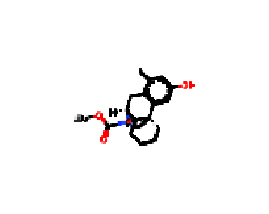 Cc1cc(O)cc2c1C[C@H]1[C@H]3CCCC[C@@]23CCN1C(=O)OC(C)(C)C